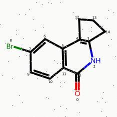 O=c1[nH]c2c(c3cc(Br)ccc13)CCC2